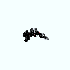 Cc1c(-c2[nH]c3ccc(C4CCN(CC(N)=O)CC4)cc3c2C(C)C)cn2nc[n+](COC(=O)N(C)c3ncccc3COC(=O)CN(C)C(=O)OC(C)(C)C)c2c1C.[Cl-]